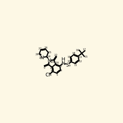 C=c1c2c(Cl)ccc(NSc3ccc(C(C)(C)C)cc3)c2c(=C)n1C1CC=CC=N1